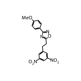 COc1ccc(-c2noc(CCc3cc([N+](=O)[O-])cc([N+](=O)[O-])c3)n2)cc1